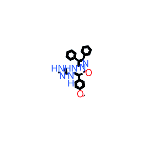 COc1ccc(/C(C)=C(\Nc2c[nH]cn2)Nc2c(-c3ccccc3)c(-c3ccccc3)nn2C=O)cc1